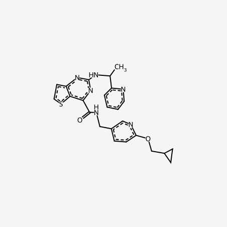 CC(Nc1nc(C(=O)NCc2ccc(OCC3CC3)nc2)c2sccc2n1)c1ccccn1